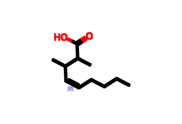 CCCC/C=C\C(C)C(C)C(=O)O